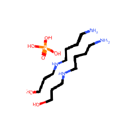 NCCCCNCCCO.NCCCCNCCCO.O=P(O)(O)O